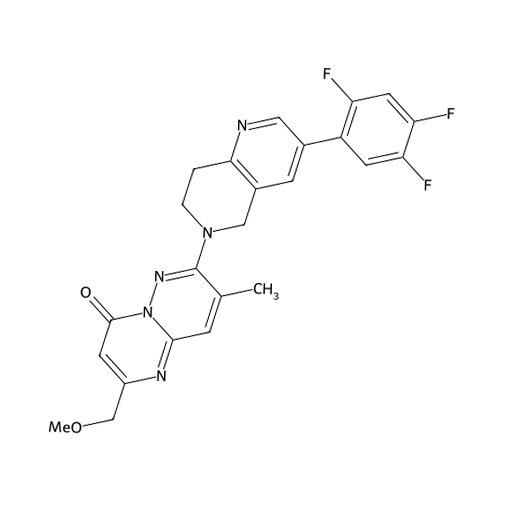 COCc1cc(=O)n2nc(N3CCc4ncc(-c5cc(F)c(F)cc5F)cc4C3)c(C)cc2n1